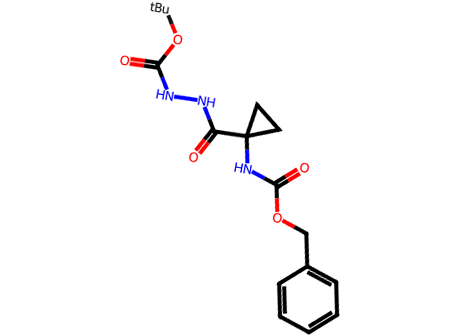 CC(C)(C)OC(=O)NNC(=O)C1(NC(=O)OCc2ccccc2)CC1